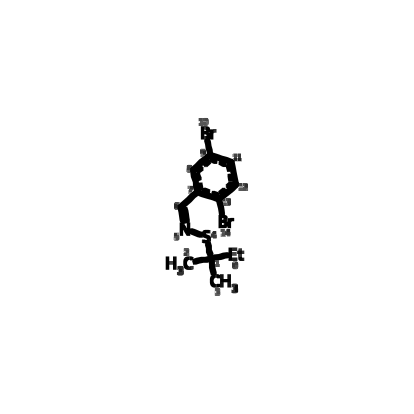 CCC(C)(C)S/N=C\c1cc(Br)ccc1Br